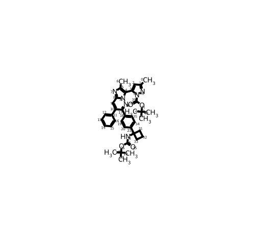 Cc1cc(-c2c(C)nc3cc(-c4ccccc4)c(-c4ccc(C5(NC(=O)OC(C)(C)C)CCC5)cc4)nn23)n(C(=O)OC(C)(C)C)n1